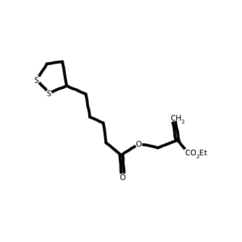 C=C(COC(=O)CCCCC1CCSS1)C(=O)OCC